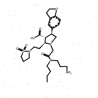 CCCCN(CCCN)C(=O)CN1C[C@H](c2ccc3c(c2)CCO3)[C@@H](C(=O)O)[C@@H]1CCN1CCCS1(=O)=O